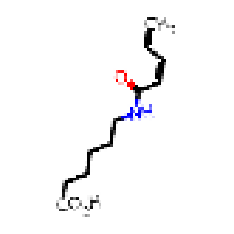 C=C/C=C\C(=O)NCCCCCC(=O)O